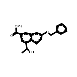 COC(=O)c1cc(C(C)O)c2ccc(OCc3ccccc3)cc2c1